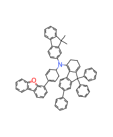 CC1(C)c2ccccc2-c2ccc(N(C3=C4C(=CCC3)C(c3ccccc3)(c3ccccc3)c3cc(-c5ccccc5)ccc34)C3C=CC(c4cccc5c4oc4ccccc45)=CC3)cc21